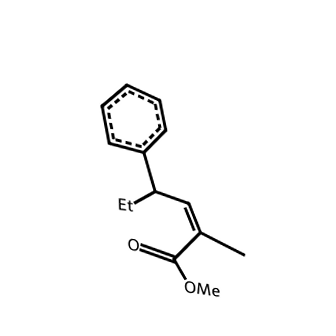 CCC(C=C(C)C(=O)OC)c1ccccc1